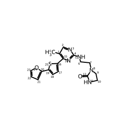 Cc1cnc(NCCN2CCNC2=O)nc1-c1ccc(-c2ccco2)s1